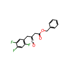 O=C=C(CC(=O)OCc1ccccc1)Cc1cc(F)c(F)cc1F